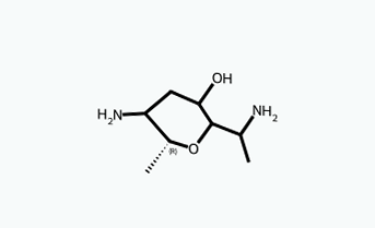 CC(N)C1O[C@H](C)C(N)CC1O